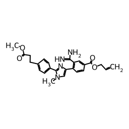 C=CCOC(=O)c1ccc(-c2cn(C)c(-c3ccc(CCC(=O)OC)cc3)n2)c(C(=N)N)c1